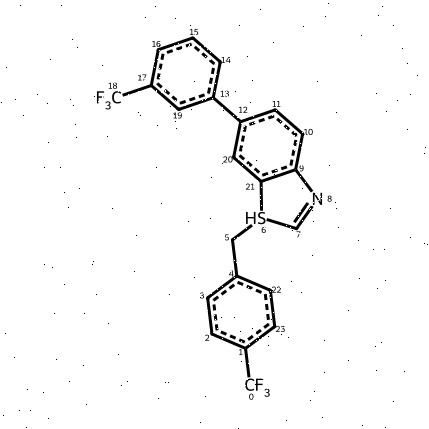 FC(F)(F)c1ccc(C[SH]2C=Nc3ccc(-c4cccc(C(F)(F)F)c4)cc32)cc1